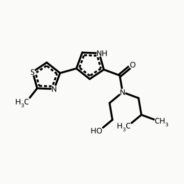 Cc1nc(-c2c[nH]c(C(=O)N(CCO)CC(C)C)c2)cs1